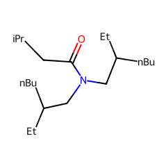 CCCCC(CC)CN(CC(CC)CCCC)C(=O)CC(C)C